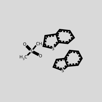 CS(C)(=O)=O.c1ccc2sccc2c1.c1ccc2sccc2c1